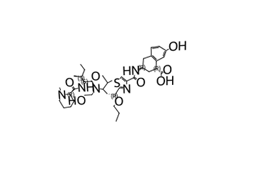 CCCO[C@H](CC(C(C)C)N(CCO)C(=O)[C@@H](NC(=O)[C@H]1CCCCN1C)[C@@H](C)CC)c1nc(C(=O)N[C@H]2Cc3ccc(O)cc3[C@H](C(=O)O)C2)cs1